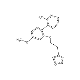 COc1ccc(-c2cccnc2C)c(OCCc2cnoc2)c1